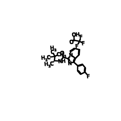 C[C@@H](NC(=O)c1nc(-c2ccc(F)cc2)c2ccccn12)C(C)(C)C.O=C(O)C(F)(F)F